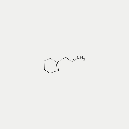 C=CCC1=CCCCC1